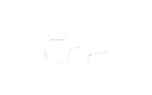 CC1C=CC=CN(CC(N)=O)C1=O